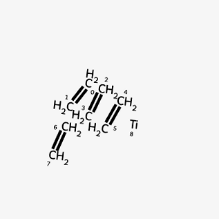 C=C.C=C.C=C.C=C.[Ti]